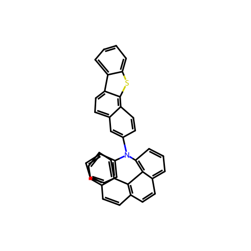 c1ccc(N(c2ccc3c(ccc4c5ccccc5sc34)c2)c2cccc3ccc4ccc5ccccc5c4c23)cc1